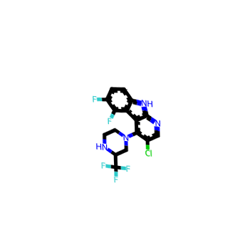 Fc1c[c]c2[nH]c3ncc(Cl)c(N4CCNC(C(F)(F)F)C4)c3c2c1F